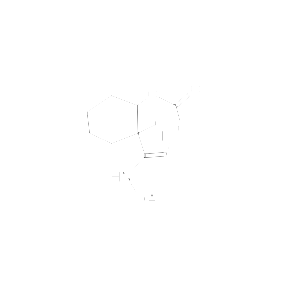 CC(=O)ONC(=O)C1(C)CCCCC1OC(=O)Cl